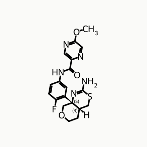 COc1cnc(C(=O)Nc2ccc(F)c([C@]34COCC[C@H]3CSC(N)=N4)c2)cn1